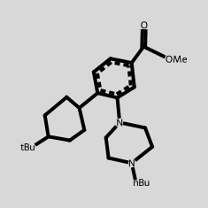 CCCCN1CCN(c2cc(C(=O)OC)ccc2C2CCC(C(C)(C)C)CC2)CC1